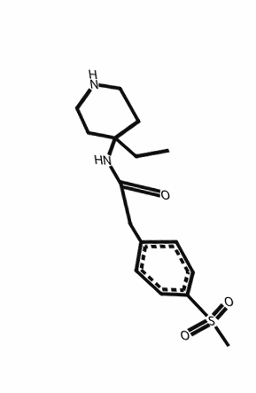 CCC1(NC(=O)Cc2ccc(S(C)(=O)=O)cc2)CCNCC1